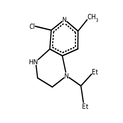 CCC(CC)N1CCNc2c1cc(C)nc2Cl